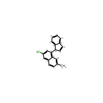 Cc1ccc2cc(Br)cc(C3C=Cc4ccccc43)c2c1